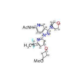 COC1CC(Oc2cc(-n3nc(N4CC5CC4CO5)c4cnc(NC(C)=O)cc43)nc(C(C)(F)F)c2)C1